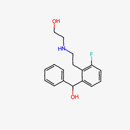 OCCNCCc1c(F)cccc1C(O)c1ccccc1